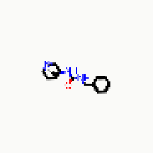 O=C(NCc1ccccc1)NC1CN2CCC1CC2